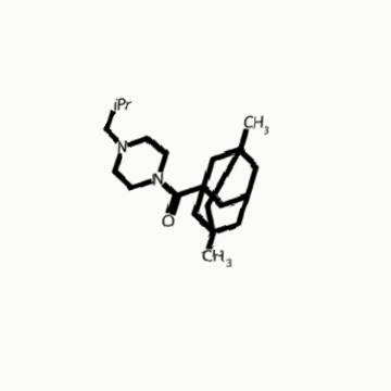 CC(C)CN1CCN(C(=O)C23CC4CC(C)(CC(C)(C4)C2)C3)CC1